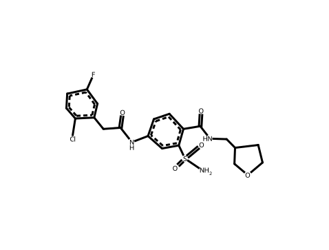 NS(=O)(=O)c1cc(NC(=O)Cc2cc(F)ccc2Cl)ccc1C(=O)NCC1CCOC1